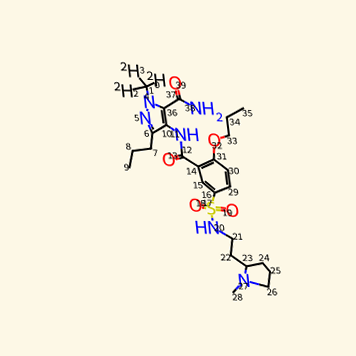 [2H]C([2H])([2H])n1nc(CCC)c(NC(=O)c2cc(S(=O)(=O)NCCC3CCCN3C)ccc2OCCC)c1C(N)=O